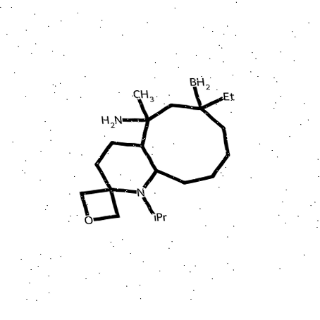 BC1(CC)CCCCC2C(CCC3(COC3)N2C(C)C)C(C)(N)C1